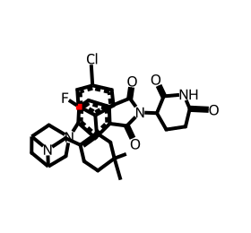 CC1(C)CCC(CN2C3CC2CN(c2cc4c(cc2F)C(=O)N(C2CCC(=O)NC2=O)C4=O)C3)=C(c2ccc(Cl)cc2)C1